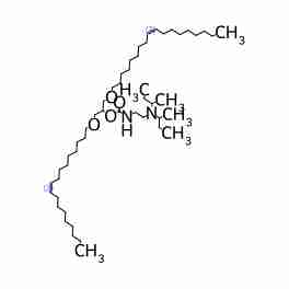 CCCCCCCC/C=C\CCCCCCCCOCC(COCCCCCCCC/C=C\CCCCCCCC)OC(=O)NCCN(C(C)CC)C(C)CC